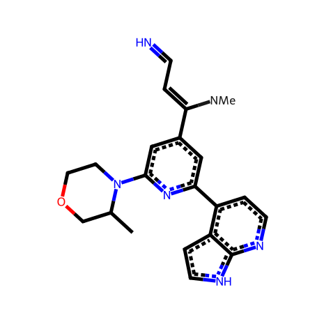 CN/C(=C\C=N)c1cc(-c2ccnc3[nH]ccc23)nc(N2CCOCC2C)c1